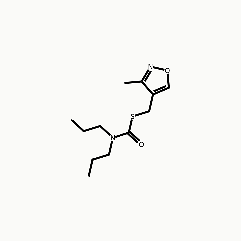 CCCN(CCC)C(=O)SCc1conc1C